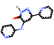 CCn1nc(-c2ccccn2)cc(Nc2cccnc2)c1=O